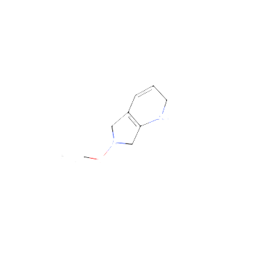 CCOC(=O)ON1CC2=C(C1)NCC=C2